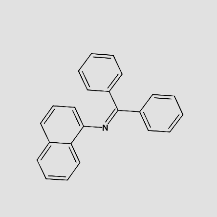 c1ccc(C(=Nc2cccc3ccccc23)c2ccccc2)cc1